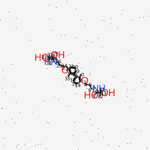 Cc1c(OCCCNC(O)C(C)(C)O)cccc1-c1cccc(OCCCNC(O)C(C)(C)O)c1C